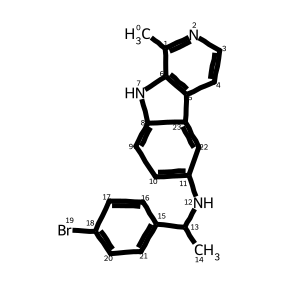 Cc1nccc2c1[nH]c1ccc(NC(C)c3ccc(Br)cc3)cc12